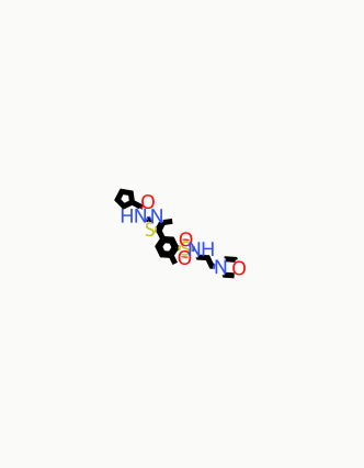 Cc1ccc(-c2sc(NC(=O)C3CCCC3)nc2C)cc1S(=O)(=O)NCCCN1CCOCC1